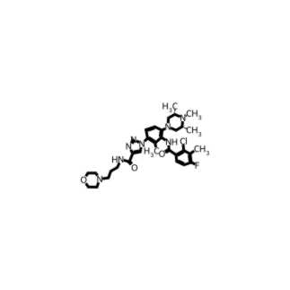 Cc1c(F)ccc(C(=O)Nc2c(N3C[C@@H](C)N(C)[C@@H](C)C3)ccc(-n3cc(C(=O)NCCCN4CCOCC4)nn3)c2C)c1Cl